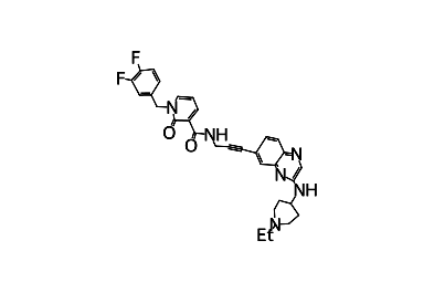 CCN1CCC(Nc2cnc3ccc(C#CCNC(=O)c4cccn(Cc5ccc(F)c(F)c5)c4=O)cc3n2)CC1